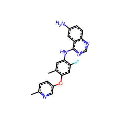 Cc1ccc(Oc2cc(F)c(Nc3ncnc4ccc(N)cc34)cc2C)cn1